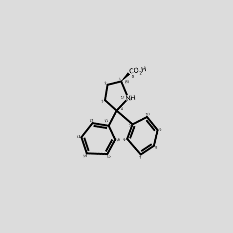 O=C(O)[C@@H]1CCC(c2ccccc2)(c2ccccc2)N1